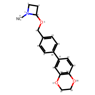 N#CN1CCC1OCc1ccc(-c2ccc3c(c2)OCCO3)cc1